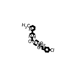 Cc1cccc(-c2cnc(C(=O)N3CCN(S(=O)(=O)c4cc5ccc(Cl)cc5s4)CC3)nc2)n1